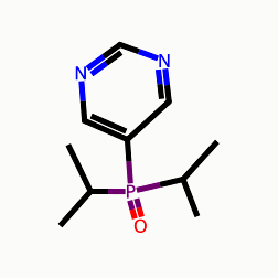 CC(C)P(=O)(c1cncnc1)C(C)C